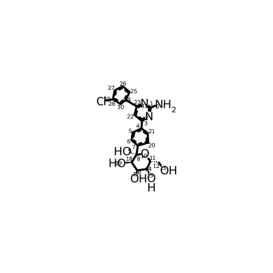 Nc1nc(-c2ccc([C@@]3(O)O[C@H](CO)[C@@H](O)[C@@H](O)[C@H]3O)cc2)cc(-c2cccc(Cl)c2)n1